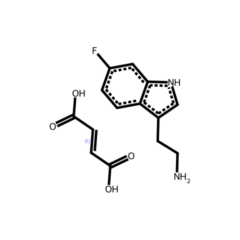 NCCc1c[nH]c2cc(F)ccc12.O=C(O)/C=C/C(=O)O